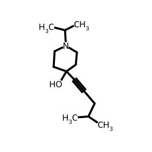 CC(C)CC#CC1(O)CCN(C(C)C)CC1